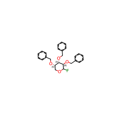 FC1OC[C@H](OCc2ccccc2)[C@H](OCc2ccccc2)[C@H]1OCc1ccccc1